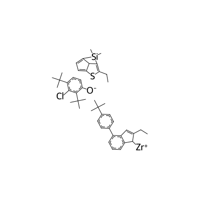 CC(C)(C)c1ccc([O-])c(C(C)(C)C)c1Cl.CCC1=C2C3C(=CC=C3[Si]2(C)C)S1.CCC1=Cc2c(-c3ccc(C(C)(C)C)cc3)cccc2[CH]1[Zr+]